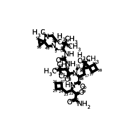 CN1CCN(C[C@@H](NC(=O)N[C@H](C(=O)N2C[C@]3(C[C@H]2C(=O)NC(CC2CCC2)C(=O)C(N)=O)C(C)(C)C32CCC2)C(C)(C)C)C(C)(C)C)CC12CC2